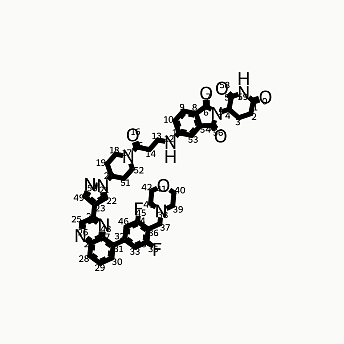 O=C1CCC(N2C(=O)c3ccc(NCCC(=O)N4CCC(n5cc(-c6cnc7cccc(-c8cc(F)c(CN9CCOCC9)c(F)c8)c7n6)cn5)CC4)cc3C2=O)C(=O)N1